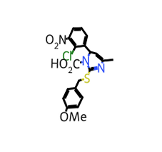 COc1ccc(CSC2=NC(C)=CC(c3cccc([N+](=O)[O-])c3Cl)N2C(=O)O)cc1